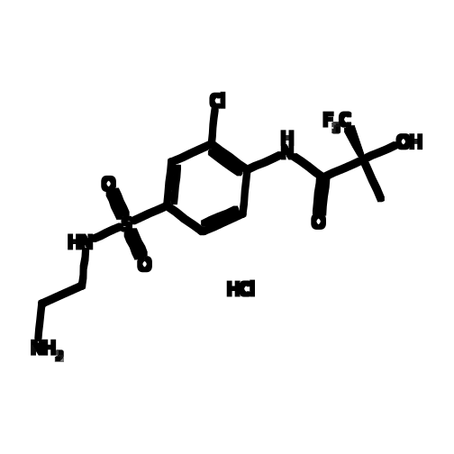 C[C@@](O)(C(=O)Nc1ccc(S(=O)(=O)NCCN)cc1Cl)C(F)(F)F.Cl